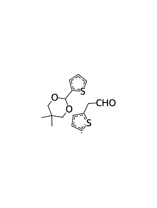 CC1(C)COC(c2cccs2)OC1.O=CCc1cc[c]s1